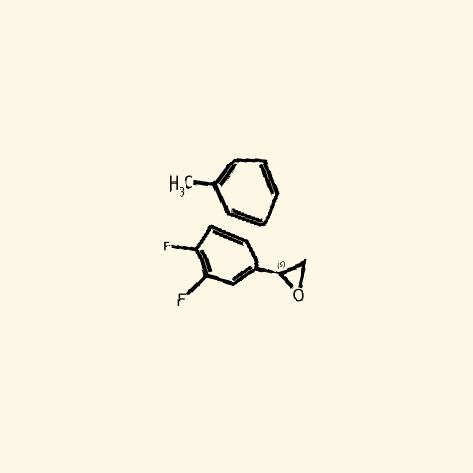 Cc1ccccc1.Fc1ccc([C@H]2CO2)cc1F